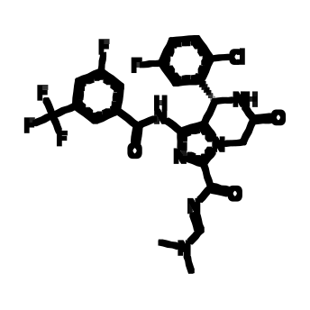 CN(C)C=NC(=O)c1nc(NC(=O)c2cc(F)cc(C(F)(F)F)c2)c2n1CC(=O)N[C@H]2c1cc(F)ccc1Cl